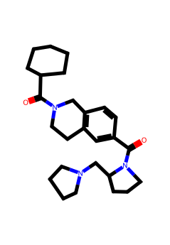 O=C(C1CCCCC1)N1CCc2cc(C(=O)N3CCCC3CN3CCCC3)ccc2C1